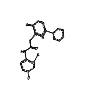 O=C(Cn1nc(-c2ccccc2)ccc1=O)Nc1ccc(Cl)cc1Cl